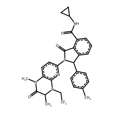 Cc1ccc(C2c3cccc(C(=O)NC4CC4)c3C(=O)N2c2ccc3c(n2)N(CC(F)(F)F)C(C)C(=O)N3C)cc1